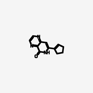 O=c1[nH]c(C2=CCCC2)cc2nccnc12